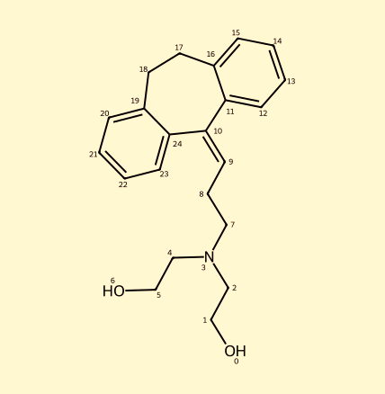 OCCN(CCO)CCC=C1c2ccccc2CCc2ccccc21